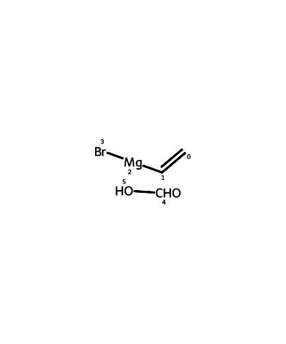 C=[CH][Mg][Br].O=CO